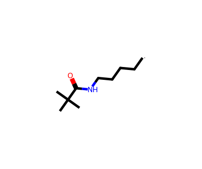 [CH2]CCCCNC(=O)C(C)(C)C